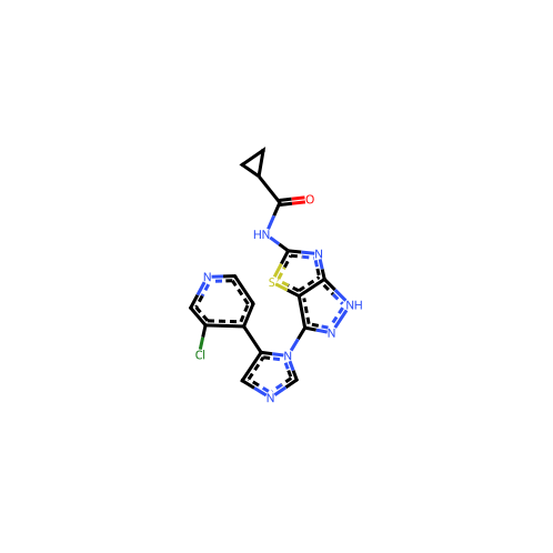 O=C(Nc1nc2[nH]nc(-n3cncc3-c3ccncc3Cl)c2s1)C1CC1